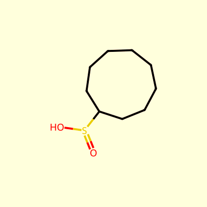 O=S(O)C1CCCCCCCC1